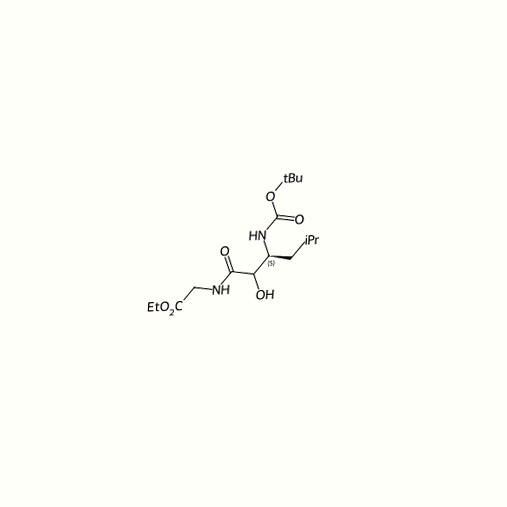 CCOC(=O)CNC(=O)C(O)[C@H](CC(C)C)NC(=O)OC(C)(C)C